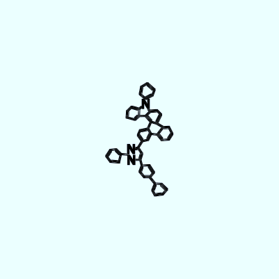 c1ccc(-c2ccc(-c3cc(-c4ccc5c(c4)c4ccccc4c4ccc6c(c7ccccc7n6-c6ccccc6)c45)nc(-c4ccccc4)n3)cc2)cc1